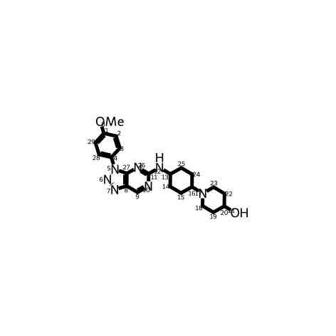 COc1ccc(-n2nnc3cnc(NC4CCC(N5CCC(O)CC5)CC4)nc32)cc1